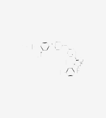 O=Cc1ccc(N2CCC(CC3CCN(C(=O)[C@](O)(c4cccc(F)c4)C(F)F)CC3)CC2)cc1Cl